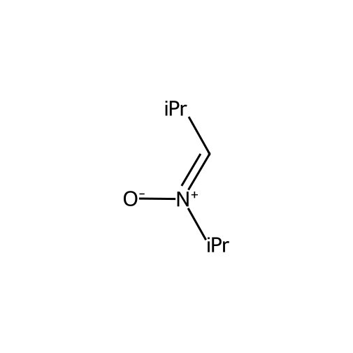 CC(C)C=[N+]([O-])C(C)C